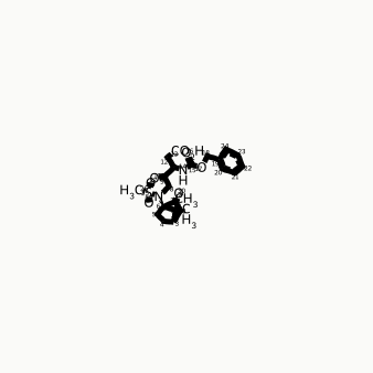 CC1(C)C2CC[C@]1(N(CC(=O)C(CC(=O)O)NC(=O)OCc1ccccc1)S(C)(=O)=O)C(=O)C2